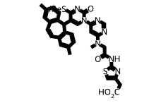 CSc1nc(=O)n(-c2cc(N(C)CC(=O)Nc3nc(CC(=O)O)cs3)ncn2)cc1C1c2ccc(C)cc2C=Cc2cc(C)ccc21